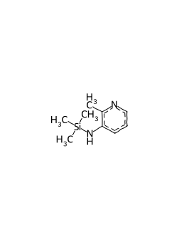 Cc1ncccc1N[Si](C)(C)C